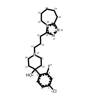 OC1(c2ccc(Cl)cc2F)CCN(CCCc2nnc3n2CCCCC3)CC1